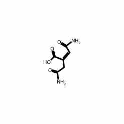 NC(=O)/C=C(/CC(N)=O)C(=O)O